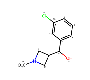 O=C(O)N1CC(C(O)c2cccc(Cl)c2)C1